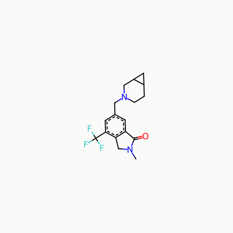 CN1Cc2c(cc(CN3CCC4CC4C3)cc2C(F)(F)F)C1=O